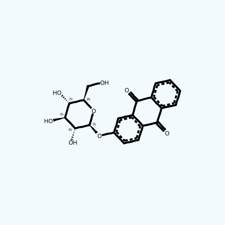 O=C1c2ccccc2C(=O)c2cc(O[C@@H]3O[C@H](CO)[C@@H](O)[C@H](O)[C@H]3O)ccc21